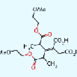 COCCOC(=O)C(C)C(=C(CC(=O)O)C(=O)O)C(C)C(=O)OCCOC